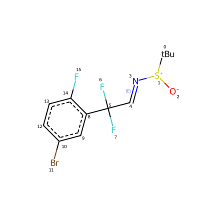 CC(C)(C)[S+]([O-])/N=C/C(F)(F)c1cc(Br)ccc1F